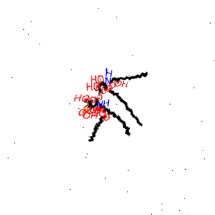 CCCCCCCCCCCCCCO[C@H]1O[C@H](CO[C@@H]2O[C@H](CO)[C@@H](OP(=O)(O)O)[C@H](O)[C@@H]2NC(=O)C[C@@H](CCCCCCCCCCC)OC(=O)CCCCCCCCCCC)[C@@H](O)[C@H](O)[C@@H]1NC(=O)C[C@H](O)CCCCCCCCCCC